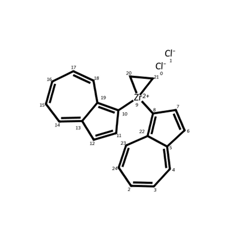 [Cl-].[Cl-].c1ccc2cc[c]([Zr+2]3([c]4ccc5cccccc4-5)[CH2][CH2]3)c-2cc1